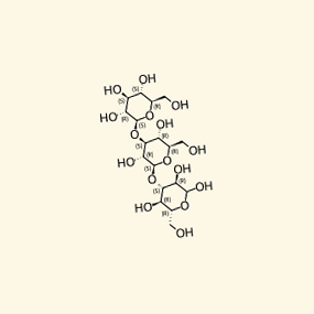 OC[C@H]1O[C@@H](O[C@@H]2[C@@H](O)[C@H](O[C@H]3[C@H](O)[C@@H](CO)OC(O)[C@@H]3O)O[C@H](CO)[C@H]2O)[C@H](O)[C@@H](O)[C@@H]1O